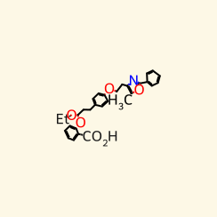 CCOC(CCc1ccc(OCCc2nc(-c3ccccc3)oc2C)cc1)Oc1ccccc1C(=O)O